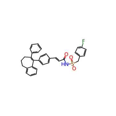 O=C(C=Cc1ccc(C2=C(c3ccccc3)CCCc3ccccc32)cc1)NS(=O)(=O)Cc1ccc(F)cc1